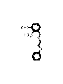 O=Cc1cccc(N=NCCOc2ccccc2)c1S(=O)(=O)O